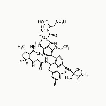 C[C@H]1CC(F)(F)C(NCC(=O)NC(Cc2cc(F)cc(F)c2)c2nc(C#CC(C)(C)[S+](C)[O-])ccc2-c2ccc(Cl)c3c(N(C(=O)N(C)C(CC(=O)O)C(=O)O)[S+](C)[O-])nn(CC(F)(F)F)c23)=C1C(=N)C(F)(F)F